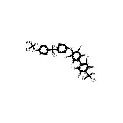 CCC(C)(CC)Oc1ccc(C(c2ccc(Oc3c(F)c(F)c(-c4c(F)c(F)c(C(C)(CC)CC)c(F)c4F)c(F)c3F)cc2)(C(F)(F)F)C(F)(F)F)cc1